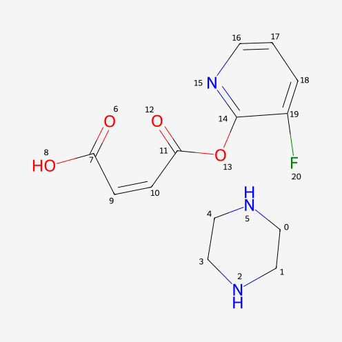 C1CNCCN1.O=C(O)/C=C\C(=O)Oc1ncccc1F